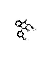 C#CCN1C(=O)c2cccnc2N(c2cccc([N+](=O)[O-])c2)C1S